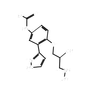 CCC(=O)Nc1ccc(OCC(O)CNC(C)C)c(-c2cc[nH]n2)c1